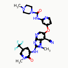 CN1CCN(C(=O)Nc2cc(Oc3cnc4nc(Nc5cc(C(F)(F)F)cn(C)c5=O)n(C)c4c3C#N)ccn2)CC1